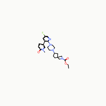 CCOC(=O)N1CC2(CC[C@@H](N3CCN(c4ncc(F)cc4-c4ccc(=O)n(C)c4)CC3)C2)C1